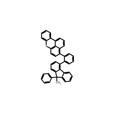 CC1(c2ccccc2)c2ccccc2-c2c(-c3ccccc3-c3ccc4c5c(cccc35)-c3ccccc3S4)cccc21